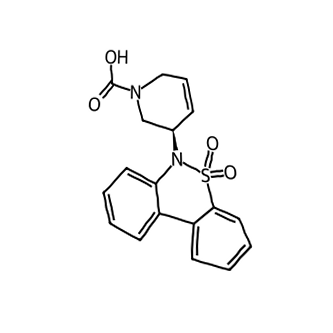 O=C(O)N1CC=C[C@@H](N2c3ccccc3-c3ccccc3S2(=O)=O)C1